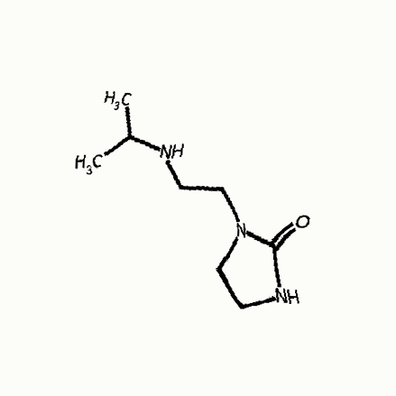 CC(C)NCCN1CCNC1=O